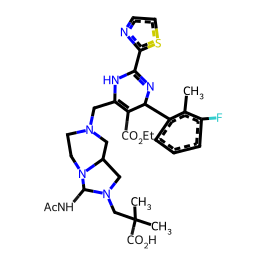 CCOC(=O)C1=C(CN2CCN3C(C2)CN(CC(C)(C)C(=O)O)C3NC(C)=O)NC(c2nccs2)=NC1c1cccc(F)c1C